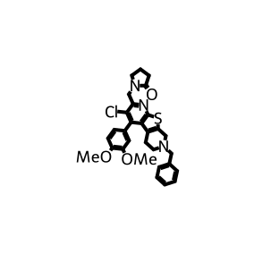 COc1ccc(-c2c(Cl)c(CN3CCCC3=O)nc3sc4c(c23)CCN(Cc2ccccc2)C4)cc1OC